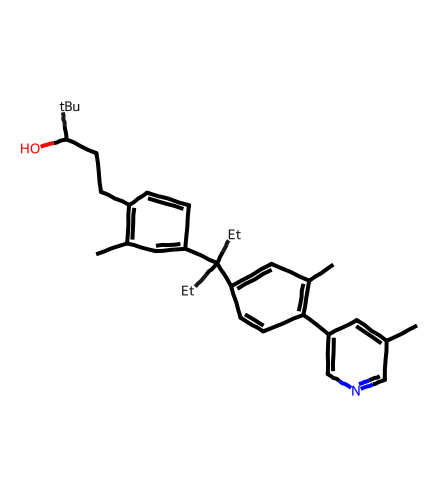 CCC(CC)(c1ccc(CCC(O)C(C)(C)C)c(C)c1)c1ccc(-c2cncc(C)c2)c(C)c1